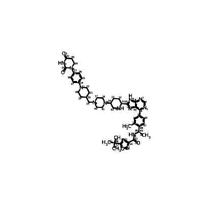 Cc1cc(-c2ncnc3[nH]c(C4CCC(N5CCN(CC6CCN(c7ccc(N8CCC(=O)NC8=O)cc7)CC6)CC5)CN4)nc23)ccc1[C@@H](C)NC(=O)c1noc(C(C)(C)C)n1